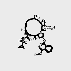 CCOc1nnc(O[C@@H]2C[C@H]3C(=O)N[C@]4(C(=O)NS(=O)(=O)C5CC5)C[C@H]4C=CCC[C@@H](C)C[C@@H](CC)[C@H](NC(=O)O)C(=O)N3C2)c2ccccc12